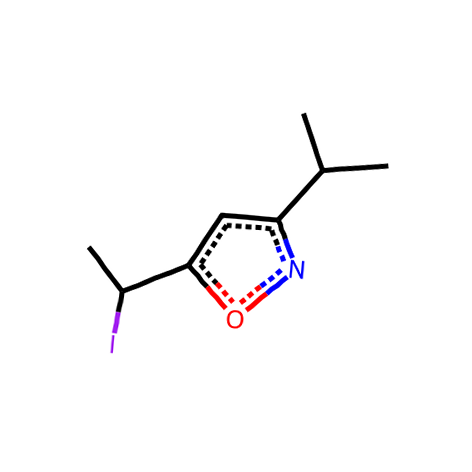 CC(C)c1cc(C(C)I)on1